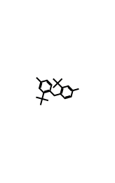 Cc1ccc(Cc2ccc(C)cc2C(C)(C)C)c(C(C)(C)C)c1